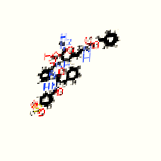 CS(=O)(=O)c1ccc(C(=O)N[C@H](CC2CCCCC2)C(=O)N2C3CCC(C3)[C@H]2C(=O)NC(CCCCNC(=O)OCc2ccccc2)C(O)C(N)=O)cc1